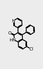 O=c1[nH]c2ccc(Cl)cc2c(-c2ccccc2)c1-c1cccnc1